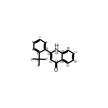 CC(C)(C)c1ccccc1-c1cc(=O)c2ccccc2[nH]1